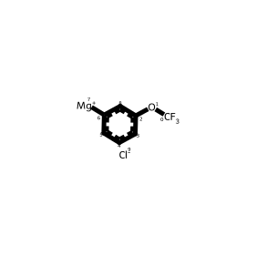 FC(F)(F)Oc1ccc[c]([Mg+])c1.[Cl-]